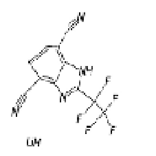 N#Cc1ccc(C#N)c2[nH]c(C(F)(F)C(F)(F)F)nc12.[LiH]